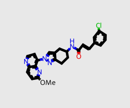 COc1ccc2nccc(-n3cc4c(n3)CCC(NC(=O)C=Cc3cccc(Cl)c3)C4)c2n1